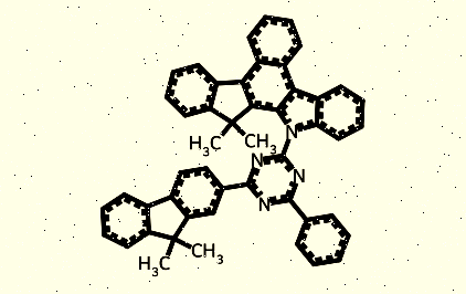 CC1(C)c2ccccc2-c2ccc(-c3nc(-c4ccccc4)nc(-n4c5ccccc5c5c6ccccc6c6c(c54)C(C)(C)c4ccccc4-6)n3)cc21